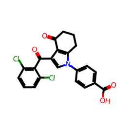 O=C(O)c1ccc(-n2cc(C(=O)c3c(Cl)cccc3Cl)c3c2CCCC3=O)cc1